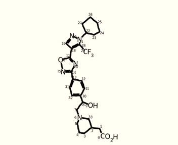 O=C(O)CC1CCCN(CC(O)c2ccc(-c3noc(-c4cnn(C5CCCCC5)c4C(F)(F)F)n3)cc2)C1